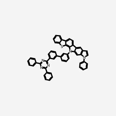 c1ccc(-c2nc(-c3ccccc3)nc(-c3cccc(-c4cccc(-n5c6cc7c(ccn7-c7ccccc7)cc6c6ccc7c8ccccc8sc7c65)c4)c3)n2)cc1